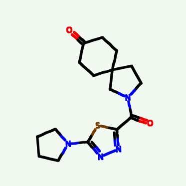 O=C1CCC2(CC1)CCN(C(=O)c1nnc(N3CCCC3)s1)C2